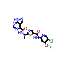 C[C@@H](NC(=O)c1ncnc2[nH]ncc12)c1ncc(C(=O)Nc2cc(C(F)(F)F)c(Cl)cn2)s1